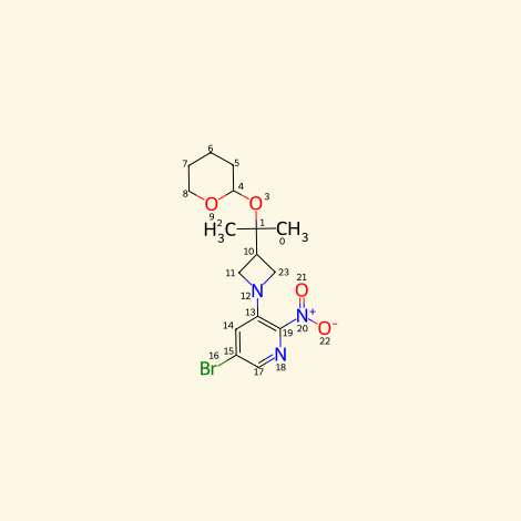 CC(C)(OC1CCCCO1)C1CN(c2cc(Br)cnc2[N+](=O)[O-])C1